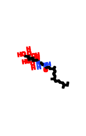 CCC(C)CCCCC(C)CCCC(C)CCC(=O)NCCNC(=O)[C@H](O)[C@@H](O)[C@H](O)[C@H](O)CO